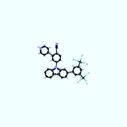 N#Cc1ccc(-n2c3ccccc3c3ccc(-c4cc(C(F)(F)F)cc(C(F)(F)F)c4)cc32)cc1-c1ccncc1